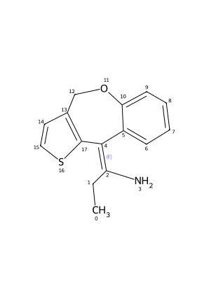 CC/C(N)=C1/c2ccccc2OCc2ccsc21